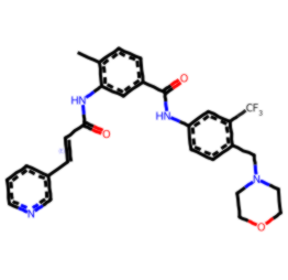 Cc1ccc(C(=O)Nc2ccc(CN3CCOCC3)c(C(F)(F)F)c2)cc1NC(=O)/C=C/c1cccnc1